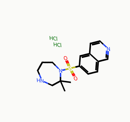 CC1(C)CNCCCN1S(=O)(=O)c1ccc2cnccc2c1.Cl.Cl